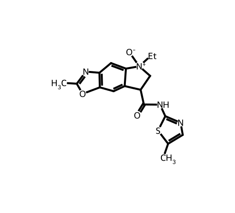 CC[N+]1([O-])CC(C(=O)Nc2ncc(C)s2)c2cc3oc(C)nc3cc21